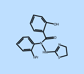 CCCc1ccccc1N(NC1=NCCS1)C(=O)c1ccccc1O